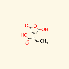 CC=CC(=O)O.O=C1C=CC(O)O1